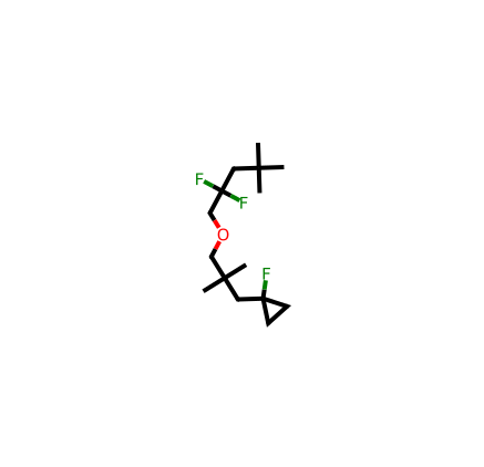 CC(C)(C)CC(F)(F)COCC(C)(C)CC1(F)CC1